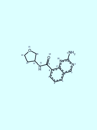 Nc1ncc2cccc(C(=O)NC3CCOC3)c2n1